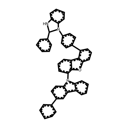 c1ccc(-c2ccc3c(c2)c2ccccc2n3-c2cccc3c2oc2cccc(-c4ccc(N5c6ccccc6NC5c5ccccc5)cc4)c23)cc1